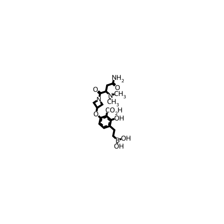 CN(C)C(CC(N)=O)C(=O)N1CC(Oc2ccc(CCB(O)O)c(O)c2C(=O)O)C1